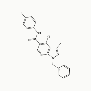 Cc1ccc(NC(=O)c2cnc3c(c(C)cn3Cc3ccccc3)c2Cl)cc1